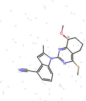 CO[C@H]1CCCc2c(SC)nc(-n3c(C)cc4c(C#N)cccc43)nc21